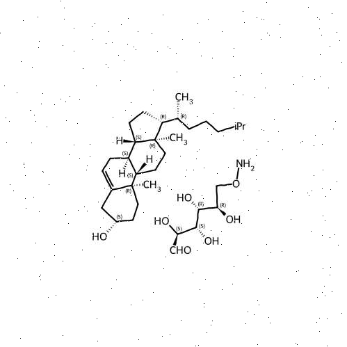 CC(C)CCC[C@@H](C)[C@H]1CC[C@H]2[C@@H]3CC=C4C[C@@H](O)CC[C@]4(C)[C@H]3CC[C@]12C.NOC[C@@H](O)[C@@H](O)[C@H](O)[C@H](O)C=O